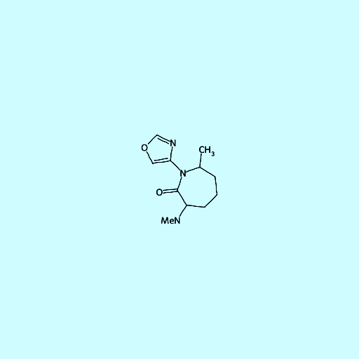 CNC1CCCC(C)N(c2cocn2)C1=O